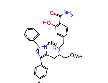 CCCCn1c(-c2ccccc2)nc(-c2ccc(OC)cc2)c1CC(COC)NCc1ccc(C(N)=O)c(O)c1